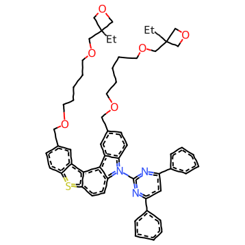 CCC1(COCCCCCOCc2ccc3sc4ccc5c(c6cc(COCCCCCOCC7(CC)COC7)ccc6n5-c5nc(-c6ccccc6)cc(-c6ccccc6)n5)c4c3c2)COC1